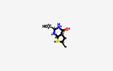 Cc1cc2c(=O)[nH]c(C(=O)O)nc2s1